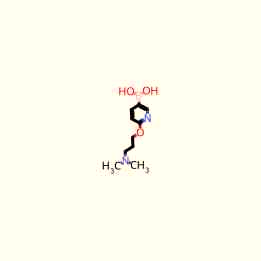 CN(C)CCCOc1ccc(B(O)O)cn1